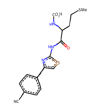 CSCCC(NC(=O)O)C(=O)Nc1nc(-c2ccc(C#N)cc2)cs1